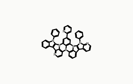 c1ccc(-n2c3ccccc3c3c4nccc5c4n(c32)-c2cc(-c3ccccn3)cc3c2B5c2cccc4c5c6cccnc6n(-c6ccccc6)c5n-3c24)cc1